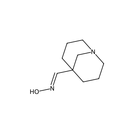 ON=CC12CCCN(CCC1)C2